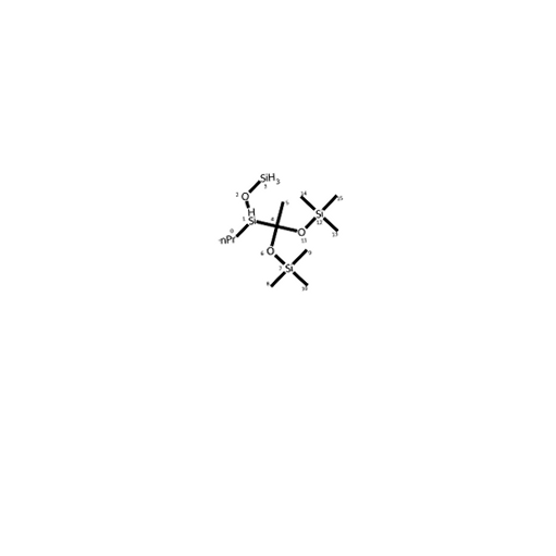 CC[CH][SiH](O[SiH3])C(C)(O[Si](C)(C)C)O[Si](C)(C)C